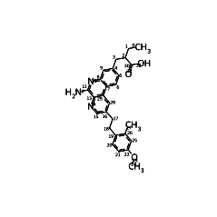 CCC(Cc1ccc2c(c1)nc(N)c1ncc(CCc3ccc(OC)cc3C)cc12)C(=O)O